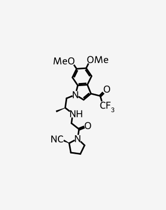 COc1cc2c(C(=O)C(F)(F)F)cn(C[C@H](C)NCC(=O)N3CCC[C@H]3C#N)c2cc1OC